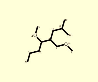 CCCC(OC)C(COC)CC(C)C